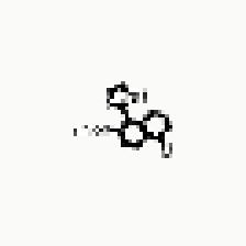 CCCCCCCCCc1ccc2c(Cl)cccc2c1-c1ncc[nH]1